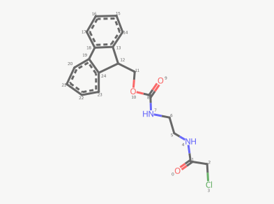 O=C(CCl)NCCNC(=O)OCC1c2ccccc2-c2ccccc21